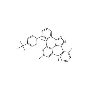 Cc1cc(C(C)C)c(-n2c(-c3cccc(-c4ccc(C(C)(C)C)cc4)c3)nnc2-c2ccccc2C)c(C(C)C)c1